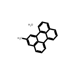 Cc1cc2cccc3c4cccc5cccc(c(c1)c23)c54.O